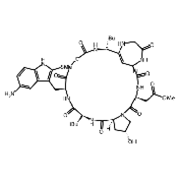 CC[C@H](C)[C@@H]1NC(=O)[C@@H]2C[C@@H](O)CN2C(=O)[C@H](CC(=O)OC)NC(=O)[C@@H]2C=C(NCC(=O)N2)[C@H]([C@@H](C)CC)NC(=O)CNC(=O)[C@H](Cc2c(SC)[nH]c3ccc(N)cc23)NC1=O